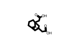 O=C(O)CC12CCCC3(C1)CC(CC(=O)O)(C2)C3